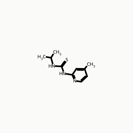 Cc1ccnc(NC(=S)NC(C)C)c1